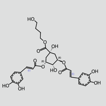 O=C(/C=C/c1ccc(O)c(O)c1)O[C@@H]1C[C@](O)(C(=O)OCCCCO)C[C@@H](OC(=O)/C=C/c2ccc(O)c(O)c2)[C@H]1O